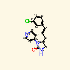 O=C1NCC(C/C=C/c2cccc(Cl)c2)N1c1ccncc1